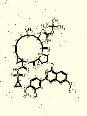 COc1ccc2c(O[C@@H]3C[C@H]4C(=O)N[C@]5(C(=O)NS(=O)(=O)C6CC6)CC5/C=C\CC[C@@H](C)C[C@@H](C)[C@H](NC(=O)OC(C)(C)C)C(=O)N4C3)nc(-c3ccc(OC)c(Cl)c3)cc2c1